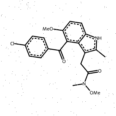 COc1ccc2[nH]c(C)c(CC(=O)N(C)OC)c2c1C(=O)c1ccc(Cl)cc1